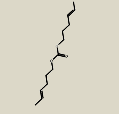 CC=CCCCOC(=O)OCCCC=CC